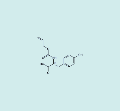 C=CCOC(=O)N[C@H](Cc1ccc(O)cc1)C(=O)O